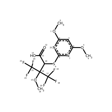 COc1cc(OC)nc(SC(C(=O)O)C(OC)(C(F)(F)F)C(F)(F)F)n1